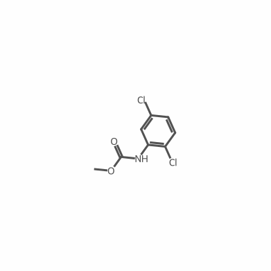 COC(=O)Nc1cc(Cl)ccc1Cl